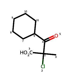 CC(Cl)(C(=O)O)C(=O)C1CCCCC1